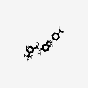 CC(I)[C@H]1CC[C@H](n2cc3cc(NC(=O)c4cncc(C(F)(F)F)c4)ccc3n2)CC1